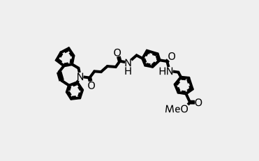 COC(=O)c1ccc(CNC(=O)c2ccc(CNC(=O)CCCCC(=O)N3Cc4ccccc4C#Cc4ccccc43)cc2)cc1